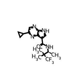 C[C@H](NC(=O)c1c[nH]c2ncc(C3CC3)nc12)C(C)(C)C(F)(F)F